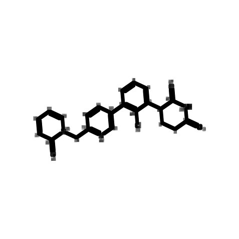 O=C1CCC(c2cccc(-c3ccc(Cn4ccccc4=O)nc3)c2Cl)C(=O)N1